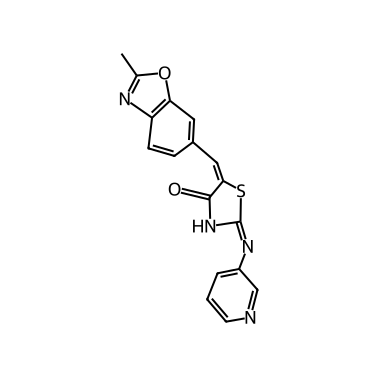 Cc1nc2ccc(C=C3SC(=Nc4cccnc4)NC3=O)cc2o1